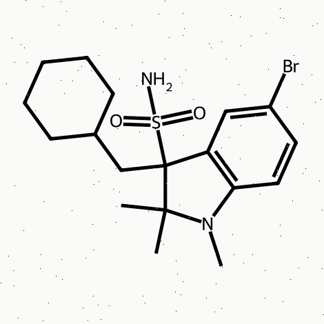 CN1c2ccc(Br)cc2C(CC2CCCCC2)(S(N)(=O)=O)C1(C)C